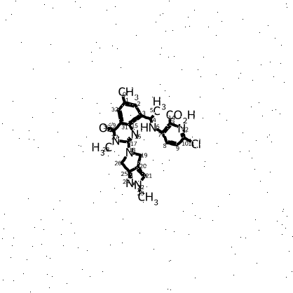 Cc1cc(C(C)Nc2ccc(Cl)nc2C(=O)O)c2nc(N3Cc4cn(C)nc4C3)n(C)c(=O)c2c1